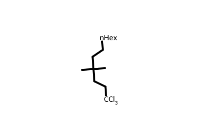 CCCCCCCCC(C)(C)CCC(Cl)(Cl)Cl